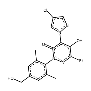 CCc1nn(-c2c(C)cc(CO)cc2C)c(=O)c(-n2cc(Cl)cn2)c1O